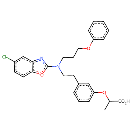 CC(Oc1cccc(CCN(CCCOc2ccccc2)c2nc3cc(Cl)ccc3o2)c1)C(=O)O